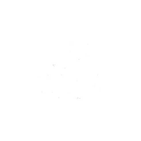 C=C(C)CCc1c(OC)cc(O)c(C(=O)OC)c1C=Cc1ccccc1